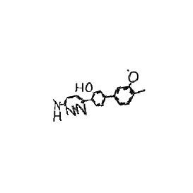 CNc1ccc(-c2ccc(-c3ccc(C)c(OC)c3)cc2O)nn1